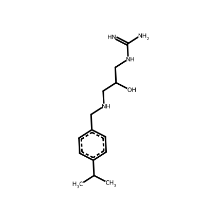 CC(C)c1ccc(CNCC(O)CNC(=N)N)cc1